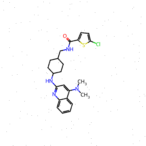 CN(C)c1cc(NC2CCC(CNC(=O)c3ccc(Cl)s3)CC2)nc2ccccc12